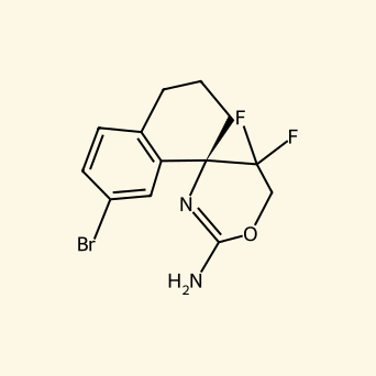 NC1=N[C@@]2(CCCc3ccc(Br)cc32)C(F)(F)CO1